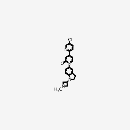 CN1CC(N2CCc3cc(-n4ccc(-c5ccc(Cl)cn5)cc4=O)ccc32)C1